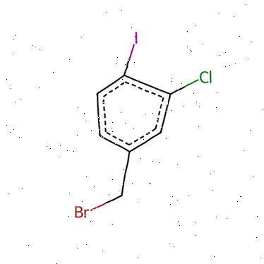 Clc1cc(CBr)ccc1I